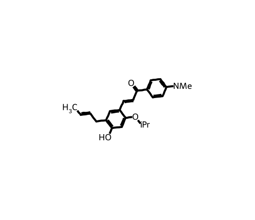 C/C=C/Cc1cc(/C=C/C(=O)c2ccc(NC)cc2)c(OC(C)C)cc1O